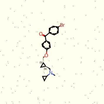 CN(C[C@H]1C[C@@H]1COc1ccc(C(=O)c2ccc(Br)cc2)cc1)C1CC1